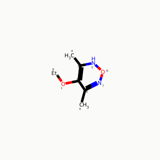 CCOC1=C(C)NON=C1C